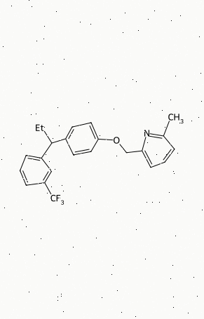 CCC(c1ccc(OCc2cccc(C)n2)cc1)c1cccc(C(F)(F)F)c1